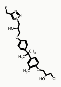 Cc1cc(C(C)(C)c2ccc(OC[C@@H](O)Cn3cc(CF)nn3)cc2)ccc1OC[C@@H](O)CCl